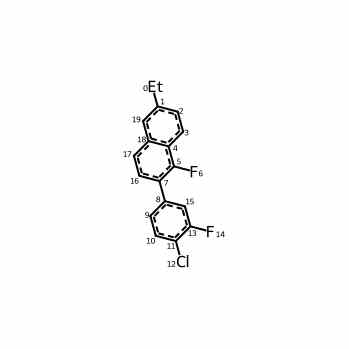 CCc1ccc2c(F)c(-c3ccc(Cl)c(F)c3)ccc2c1